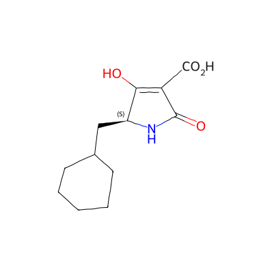 O=C(O)C1=C(O)[C@H](CC2CCCCC2)NC1=O